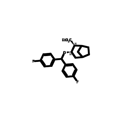 CCOC(=O)[C@@H]1C2CCC(C2)C[C@@H]1OC(c1ccc(F)cc1)c1ccc(F)cc1